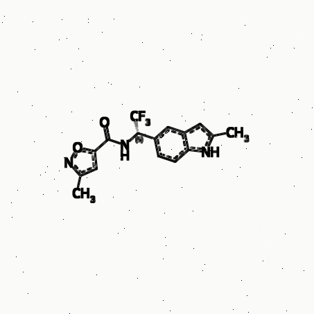 Cc1cc(C(=O)N[C@@H](c2ccc3[nH]c(C)cc3c2)C(F)(F)F)on1